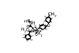 Cc1ccc(Oc2ccc(N(C[C@H](NC(C)c3ccccc3)C(=O)NO)S(C)(=O)=O)cc2)cc1